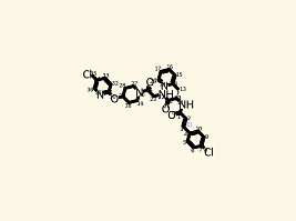 O=C(/C=C/c1ccc(Cl)cc1)N[C@@H](Cc1ccccn1)C(=O)NCC(=O)N1CCC(Oc2ccc(Cl)cn2)CC1